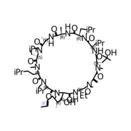 C=C1C(=O)N(C)[C@@H](CC(C)(C)O)C(=O)N[C@H](C(C)C)C(=O)N(C)[C@H](CC(C)C)C(=O)N[C@H](C)C(=O)N[C@@H](C)C(=O)N(C)[C@@H](CC(C)C)C(=O)N(C)[C@H](CCC(C)C)C(=O)N(C)[C@H](C(C)C)C(=O)N(C)C([C@H](O)[C@H](C)C/C=C/C)C(=O)N[C@H](CC)C(=O)N1C